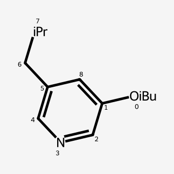 CC(C)COc1cncc(CC(C)C)c1